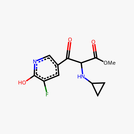 COC(=O)C(NC1CC1)C(=O)c1cnc(O)c(F)c1